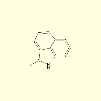 CN1Nc2cccc3cccc1c23